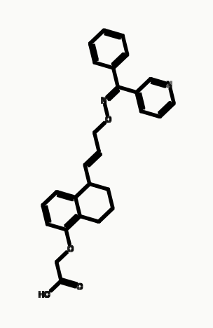 O=C(O)COc1cccc2c1CCCC2C=CCON=C(c1ccccc1)c1cccnc1